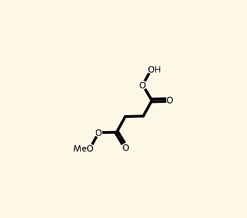 COOC(=O)CCC(=O)OO